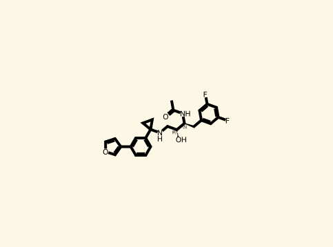 CC(=O)N[C@@H](Cc1cc(F)cc(F)c1)[C@H](O)CNC1(c2cccc(-c3ccoc3)c2)CC1